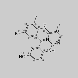 Cc1cnc(Nc2ccc(C#N)cc2)nc1Nc1c(C)cc(Br)cc1C